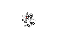 COC(=O)CSc1cc(/N=c2\sc(=O)n3n2CCCC3)c(F)cc1Cl.CSC(=O)c1c(C(F)F)nc(C(F)(F)F)c(C(=O)SC)c1CC(C)C